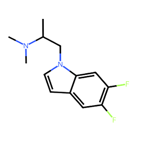 CC(Cn1ccc2cc(F)c(F)cc21)N(C)C